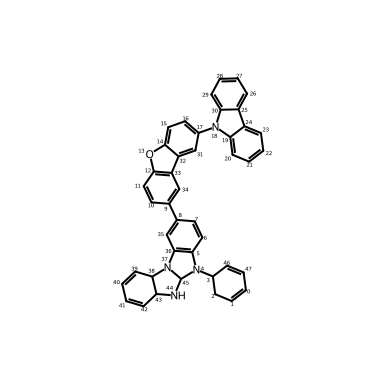 C1=CCC(N2c3ccc(-c4ccc5oc6ccc(-n7c8ccccc8c8ccccc87)cc6c5c4)cc3N3C4C=CC=CC4NC23)C=C1